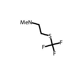 CNCCSC(F)(F)F